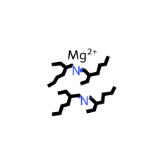 CCCCC(CC)C[N-]CC(CC)CCCC.CCCCC(CC)C[N-]CC(CC)CCCC.[Mg+2]